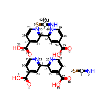 N=C=S.N=C=S.O=C(O)c1ccnc(-c2cc(C(=O)O)ccn2)c1.O=C(O)c1ccnc(-c2cc(C(=O)O)ccn2)c1.[Ru]